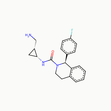 NC[C@H]1C[C@H]1NC(=O)N1CCc2ccccc2[C@@H]1c1ccc(F)cc1